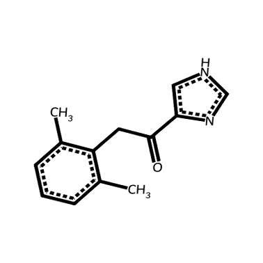 Cc1cccc(C)c1CC(=O)c1c[nH]cn1